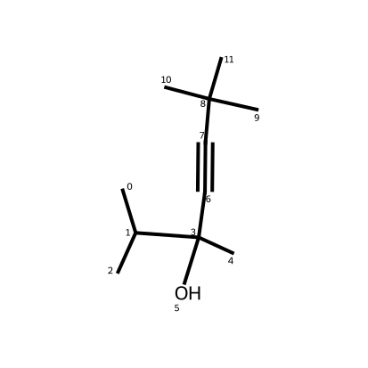 CC(C)C(C)(O)C#CC(C)(C)C